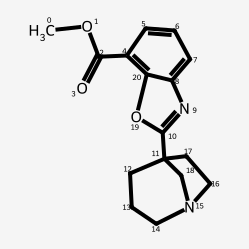 COC(=O)c1cccc2nc(C34CCCN(CC3)C4)oc12